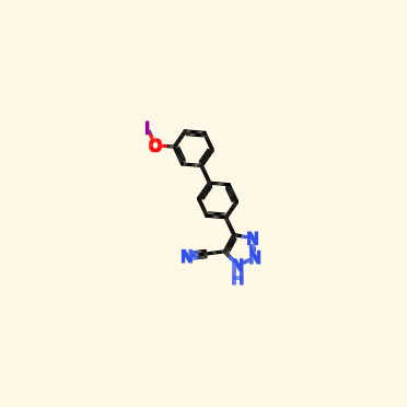 N#Cc1[nH]nnc1-c1ccc(-c2cccc(OI)c2)cc1